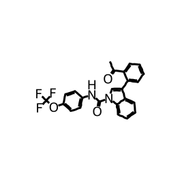 CC(=O)c1ccccc1-c1cn(C(=O)Nc2ccc(OC(F)(F)F)cc2)c2ccccc12